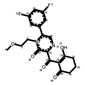 COCCn1c(-c2cc(F)cc(F)c2)cnc(C(=O)C2=C(O)CCCC2=O)c1=O